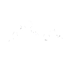 COc1ccc(/C=N/NC(=O)c2sc(-c3ccc(Cl)cc3)nc2C(C)(C)C)cc1O